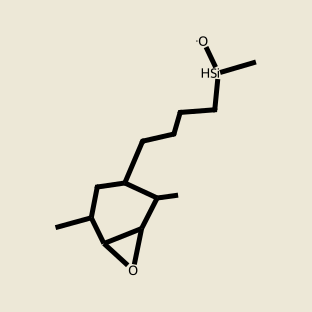 CC1CC(CCCC[SiH](C)[O])C(C)C2OC12